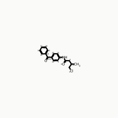 CC(CCl)CC(=O)Nc1ccc(C(=O)c2ccccc2)cc1